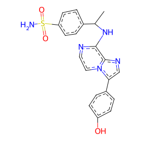 CC(Nc1nccn2c(-c3ccc(O)cc3)cnc12)c1ccc(S(N)(=O)=O)cc1